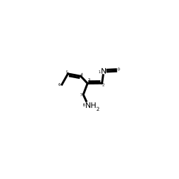 C=N/C=C(\C=C/C)CN